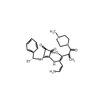 C=C(C(=O)N1CCN(C)CC1)/C(OC)=C(\C=C/N)Nc1c(N[C@H](CC)c2ccccc2)c(=O)c1=O